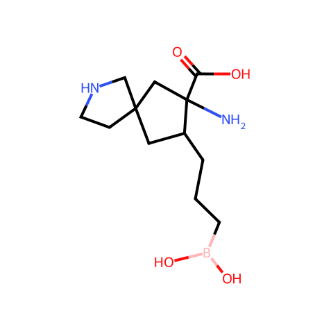 NC1(C(=O)O)CC2(CCNC2)CC1CCCB(O)O